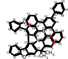 CC1(C)c2cccc3c2-n2c4c(cc5oc6ccccc6c5c4c4c5c(cc1c42)oc1ccccc15)B3c1c(-c2ccccc2)cc(-c2ccccc2)cc1-c1ccccc1